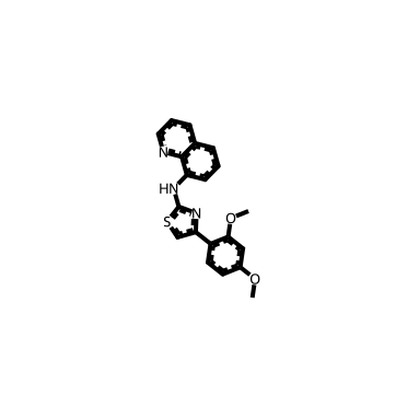 COc1ccc(-c2csc(Nc3cccc4cccnc34)n2)c(OC)c1